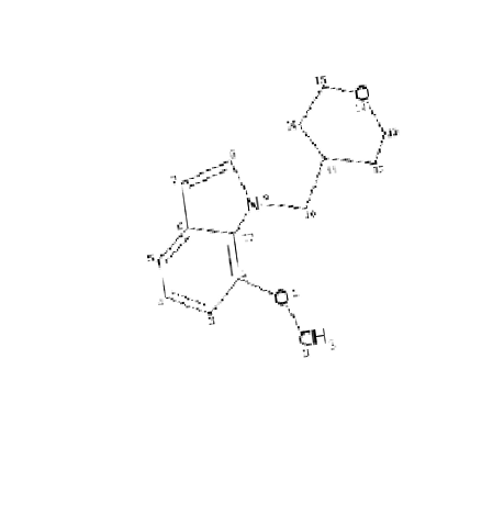 COc1cccc2[c]cn(CC3CCOCC3)c12